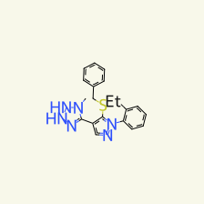 CCc1ccccc1-n1ncc(C2=NNNN2C)c1SCc1ccccc1